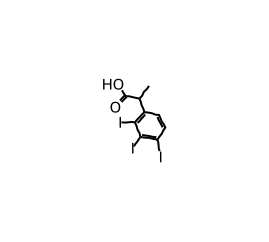 CC(C(=O)O)c1ccc(I)c(I)c1I